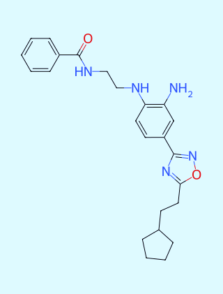 Nc1cc(-c2noc(CCC3CCCC3)n2)ccc1NCCNC(=O)c1ccccc1